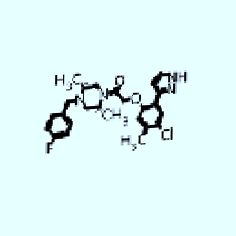 Cc1cc(OCC(=O)N2C[C@H](C)N(Cc3ccc(F)cc3)C[C@H]2C)c(-c2cc[nH]n2)cc1Cl